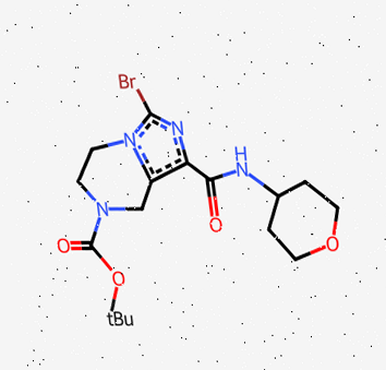 CC(C)(C)OC(=O)N1CCn2c(Br)nc(C(=O)NC3CCOCC3)c2C1